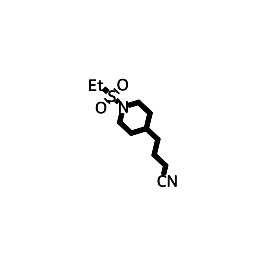 CCS(=O)(=O)N1CCC(CCCC#N)CC1